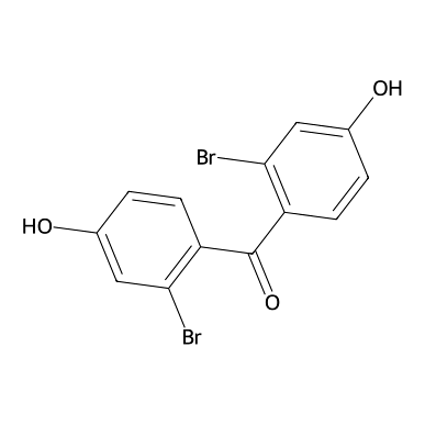 O=C(c1ccc(O)cc1Br)c1ccc(O)cc1Br